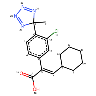 CC1(c2ccc(/C(=C\C3CCCCC3)C(=O)O)cc2Cl)N=NN=N1